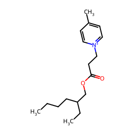 CCCCC(CC)COC(=O)CC[n+]1ccc(C)cc1